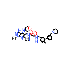 CCc1nc2c(cnn2CC)c(NC2CCOCC2)c1CNC(=O)CC(=O)NCc1ccc(C)c(-c2cccc(CN3CCCCC3)c2)c1